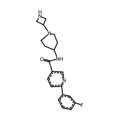 O=C(NC1CCN(C2CNC2)CC1)c1ccc(-c2cccc(F)c2)nc1